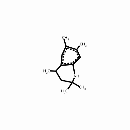 Cc1cc2c(cc1C)C(C)CC(C)(C)N2